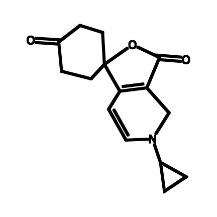 O=C1CCC2(CC1)OC(=O)C1=C2C=CN(C2CC2)C1